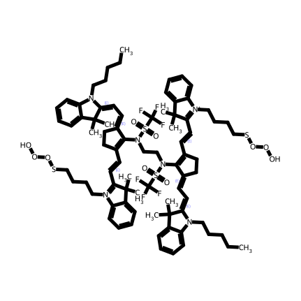 CCCCCN1/C(=C/C=C2\CCC(/C=C/C3=[N+](CCCCSOOO)c4ccccc4C3(C)C)=C2N(CCN(C2=C(/C=C/C3=[N+](CCCCSOOO)c4ccccc4C3(C)C)CC/C2=C\C=C2\N(CCCCC)c3ccccc3C2(C)C)S(=O)(=O)C(F)(F)F)S(=O)(=O)C(F)(F)F)C(C)(C)c2ccccc21